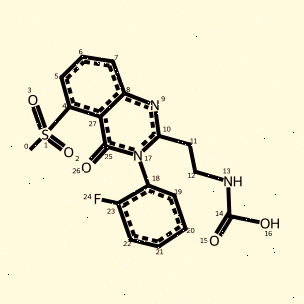 CS(=O)(=O)c1cccc2nc(CCNC(=O)O)n(-c3ccccc3F)c(=O)c12